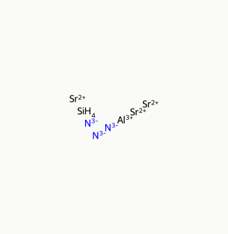 [Al+3].[N-3].[N-3].[N-3].[SiH4].[Sr+2].[Sr+2].[Sr+2]